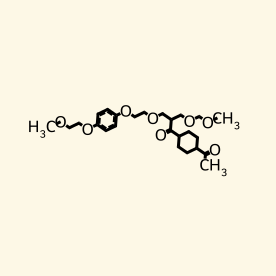 COCCOc1ccc(OCCOCC(COCOC)C(=O)C2CCC(C(C)=O)CC2)cc1